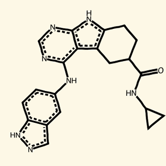 O=C(NC1CC1)C1CCc2[nH]c3ncnc(Nc4ccc5[nH]ncc5c4)c3c2C1